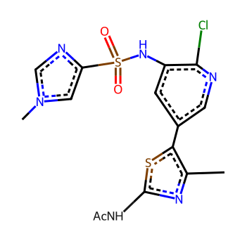 CC(=O)Nc1nc(C)c(-c2cnc(Cl)c(NS(=O)(=O)c3cn(C)cn3)c2)s1